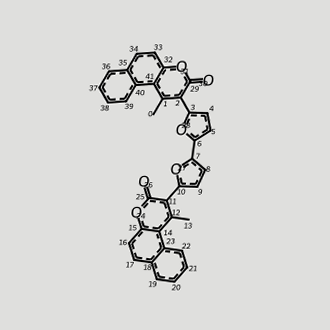 Cc1c(-c2ccc(-c3ccc(-c4c(C)c5c(ccc6ccccc65)oc4=O)o3)o2)c(=O)oc2ccc3ccccc3c12